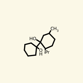 CC1CCC(C(C)C)C(O)(C2(O)CCCCC2)C1